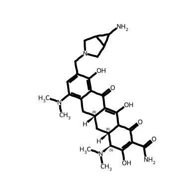 CN(C)c1cc(CN2CC3C(N)C3C2)c(O)c2c1C[C@H]1C[C@@H]3C(C(=O)C(C(N)=O)=C(O)[C@H]3N(C)C)C(O)=C1C2=O